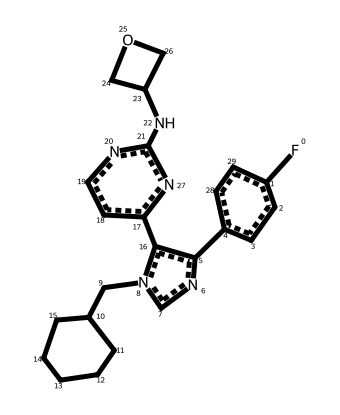 Fc1ccc(-c2ncn(CC3CCCCC3)c2-c2ccnc(NC3COC3)n2)cc1